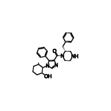 O=C(c1ncn(C2[CH]CCCC2O)c1-c1ccccc1)N1CCNC[C@H]1Cc1ccccc1